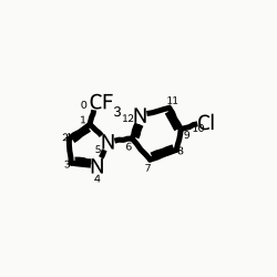 FC(F)(F)c1[c]cnn1-c1ccc(Cl)cn1